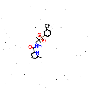 Cc1cccc(C(=O)NCC(C)(C)S(=O)(=O)c2cccc(C(F)(F)F)c2)n1